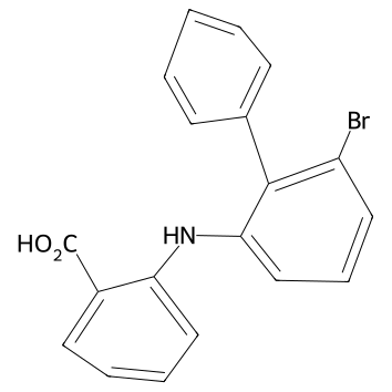 O=C(O)c1ccccc1Nc1cccc(Br)c1-c1ccccc1